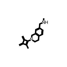 C=C1C(=C)C(N2CCc3ccc(CNC)cc3C2)=C1C